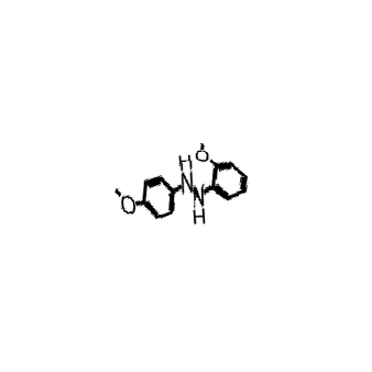 COc1ccc(NNc2ccccc2OC)cc1